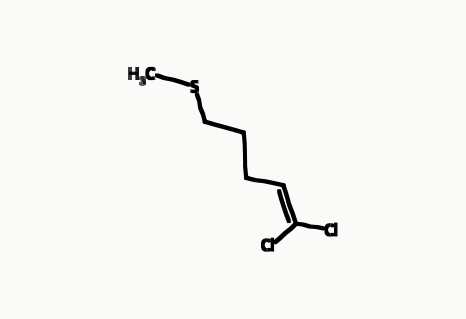 CSCCCC=C(Cl)Cl